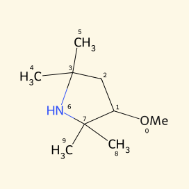 COC1CC(C)(C)NC1(C)C